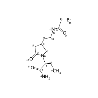 CC[C@@H](C(N)=O)N1CC(CCNC(=O)CBr)CC1=O